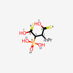 CCCC(C(O)=S)C(C(O)=S)P(=O)(O)O